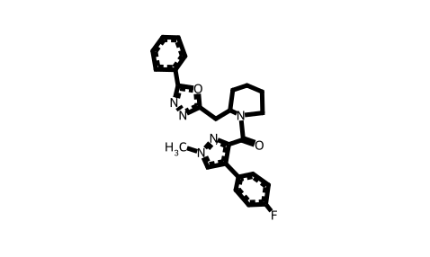 Cn1cc(-c2ccc(F)cc2)c(C(=O)N2CCCCC2Cc2nnc(-c3ccccc3)o2)n1